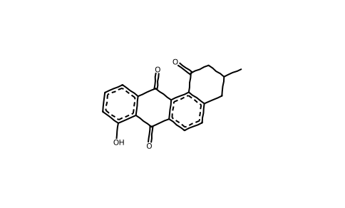 CC1CC(=O)c2c(ccc3c2C(=O)c2cccc(O)c2C3=O)C1